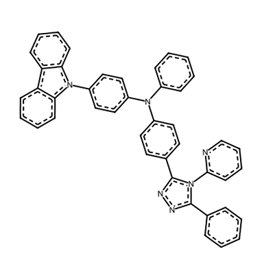 c1ccc(-c2nnc(-c3ccc(N(c4ccccc4)c4ccc(-n5c6ccccc6c6ccccc65)cc4)cc3)n2-c2ccccn2)cc1